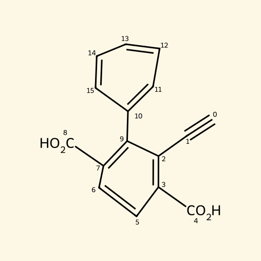 C#Cc1c(C(=O)O)ccc(C(=O)O)c1-c1ccccc1